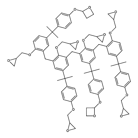 CC(C)(c1ccc(OC2CCO2)cc1)c1ccc(OCC2CO2)c(Cc2cc(C(C)(C)c3ccc(OCC4CO4)cc3)cc(Cc3cc(C(C)(C)c4ccc(OC5CCO5)cc4)cc(Cc4cc(C(C)(C)c5ccc(OCC6CO6)cc5)ccc4OCC4CO4)c3OCC3CO3)c2OCC2CO2)c1